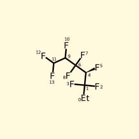 [CH2]CC(F)(F)[C@H](F)C(F)(F)C(F)C(F)F